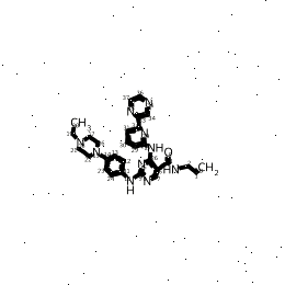 C=CCNC(=O)c1cnc(Nc2ccc(N3CCN(CC)CC3)cc2)nc1Nc1cccc(-c2cnccn2)n1